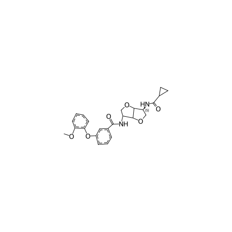 COc1ccccc1Oc1cccc(C(=O)NC2COC3C2OC[C@@H]3NC(=O)C2CC2)c1